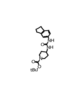 CC(C)(C)OC(=O)N1CCC(NC(=O)Nc2ccc3c(c2)CCC3)CC1